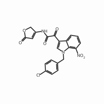 O=C1C=C(NC(=O)C(=O)c2cn(Cc3ccc(Cl)cc3)c3c([N+](=O)[O-])cccc23)CO1